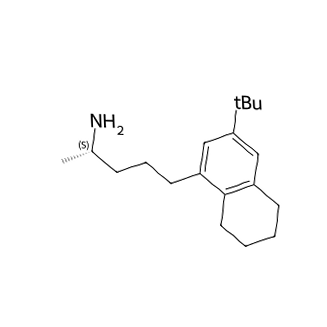 C[C@H](N)CCCc1cc(C(C)(C)C)cc2c1CCCC2